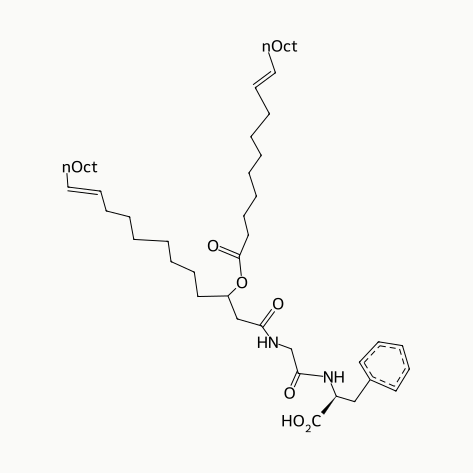 CCCCCCCCC=CCCCCCCCC(=O)OC(CCCCCCCC=CCCCCCCCC)CC(=O)NCC(=O)N[C@@H](Cc1ccccc1)C(=O)O